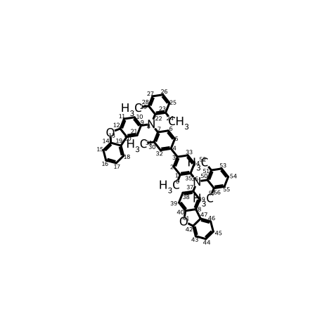 Cc1cc(-c2ccc(N(c3ccc4oc5ccccc5c4c3)c3c(C)cccc3C)c(C)c2)ccc1N(c1ccc2oc3ccccc3c2c1)c1c(C)cccc1C